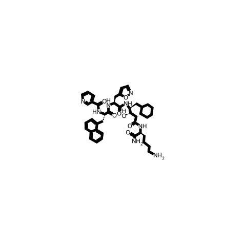 NCCCC[C@H](NC(=O)C[C@H](O)[C@H](CC1CCCCC1)NC(=O)[C@H](Cc1ccno1)NC(=O)[C@H](Cc1cccc2ccccc12)NC(=O)c1cccnc1)C(N)=O